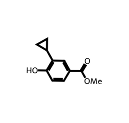 COC(=O)c1ccc(O)c(C2CC2)c1